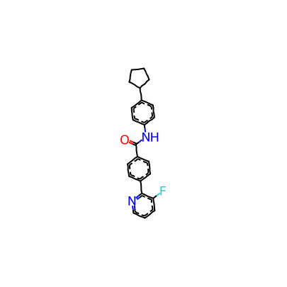 O=C(Nc1ccc(C2CCCC2)cc1)c1ccc(-c2ncccc2F)cc1